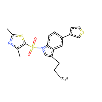 Cc1nc(C)c(S(=O)(=O)n2cc(CCC(=O)O)c3cc(-c4ccsc4)ccc32)s1